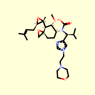 CO[C@@H]1[C@H](N(C(=O)O)[C@H](c2cn(CCN3CCOCC3)cn2)C(C)C)CC[C@]2(CO2)[C@H]1[C@@]1(C)O[C@@H]1CC=C(C)C